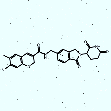 Cc1cc2c(cc1Cl)OCC(C(=O)NCc1ccc3c(c1)CN(C1CCC(=O)NC1=O)C3=O)=C2